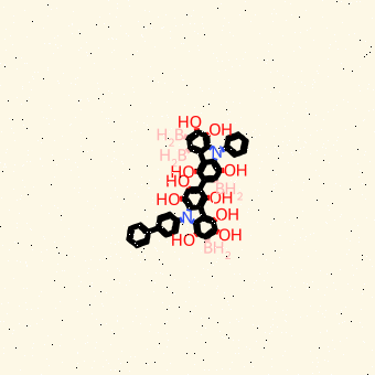 Bc1c(O)c(O)c2c(c1B)c1c(O)c(-c3c(O)c(O)c4c(c3O)c3c(O)c(O)c(B)c(O)c3n4-c3ccc(-c4ccccc4)cc3)c(B)c(O)c1n2-c1ccccc1